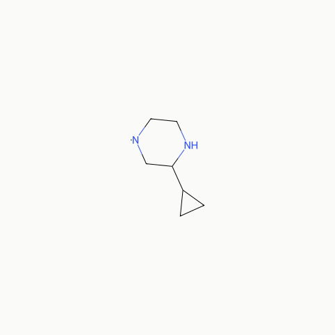 C1CNC(C2CC2)C[N]1